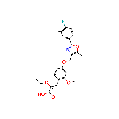 CCO[C@@H](Cc1ccc(OCc2nc(-c3ccc(F)c(C)c3)oc2C)cc1OC)C(=O)O